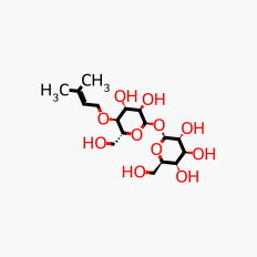 CC(C)=CCO[C@H]1[C@H](O)[C@@H](O)[C@@H](O[C@H]2O[C@H](CO)[C@@H](O)[C@H](O)[C@H]2O)O[C@@H]1CO